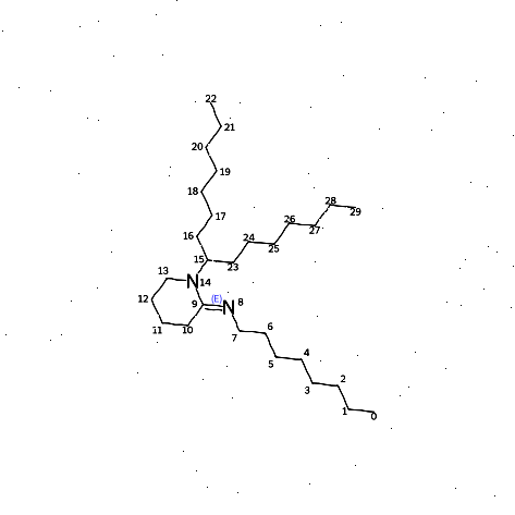 CCCCCCCC/N=C1\CCCCN1C(CCCCCCC)CCCCCCC